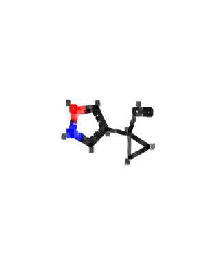 O=CC1(c2cnoc2)CC1